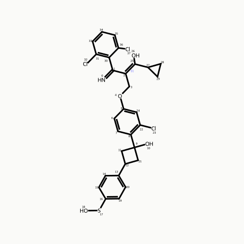 N=C(/C(COc1ccc(C2(O)CC(c3ccc(SO)cc3)C2)c(Cl)c1)=C(\O)C1CC1)c1c(Cl)cccc1Cl